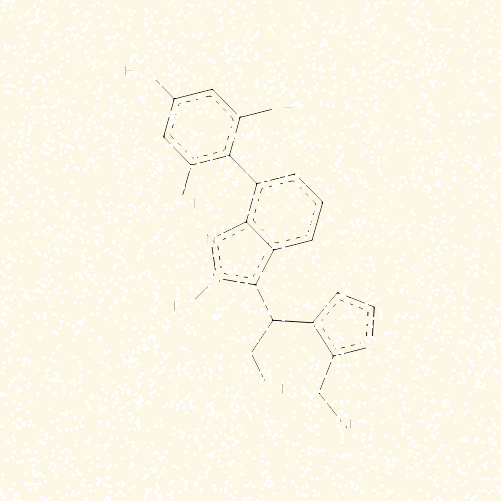 CCC(c1ccsc1CN)c1c2cccc(-c3c(C)cc(C)cc3C)c2nn1C